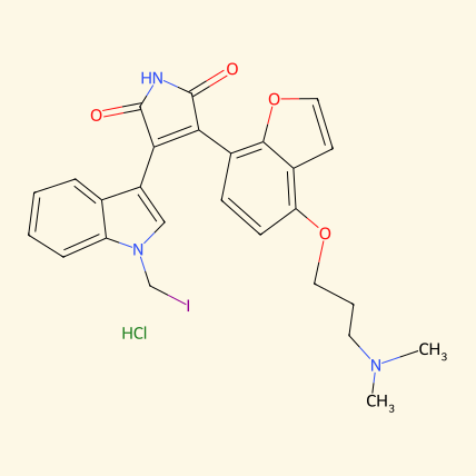 CN(C)CCCOc1ccc(C2=C(c3cn(CI)c4ccccc34)C(=O)NC2=O)c2occc12.Cl